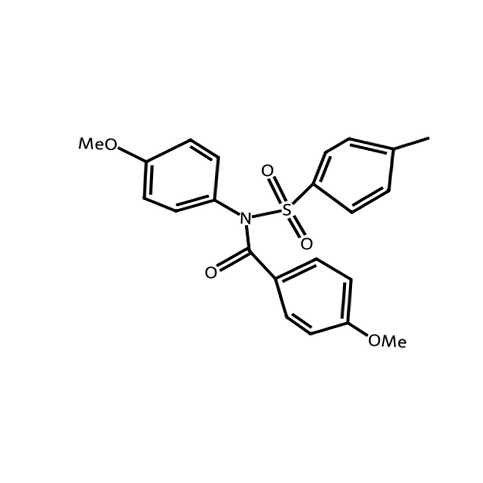 COc1ccc(C(=O)N(c2ccc(OC)cc2)S(=O)(=O)c2ccc(C)cc2)cc1